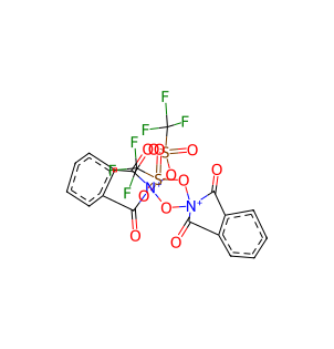 O=C1c2ccccc2C(=O)[N+]1(O[N+]1(OS(=O)(=O)C(F)(F)F)C(=O)c2ccccc2C1=O)OS(=O)(=O)C(F)(F)F